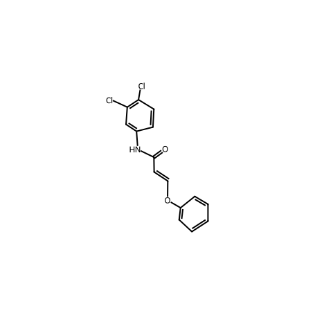 O=C(C=COc1ccccc1)Nc1ccc(Cl)c(Cl)c1